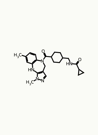 Cc1ccc2c(c1)Nc1c(cnn1C)CN2C(=O)C1CCC(CNC(=O)C2CC2)CC1